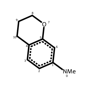 CNc1ccc2c(c1)OCCC2